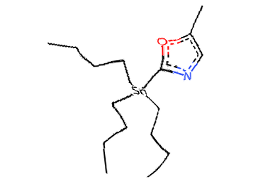 CCC[CH2][Sn]([CH2]CCC)([CH2]CCC)[c]1ncc(C)o1